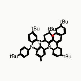 Cc1cc2c3c(c1)N(C1C=CC(C(C)(C)C)CC1c1ccc4c(c1)C=CC(C(C)(C)C)C4)C1=CCC(C(C)(C)C)CC1B3c1cc(C(C)(C)C)ccc1N2c1ccc(C(C)(C)C)cc1